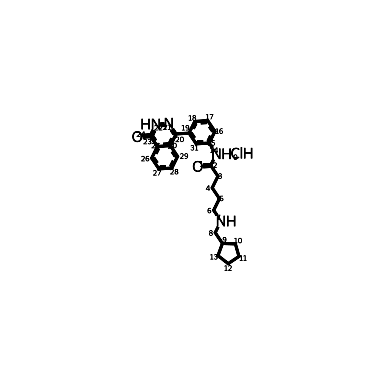 Cl.O=C(CCCCNCC1CCCC1)Nc1cccc(-c2n[nH]c(=O)c3ccccc23)c1